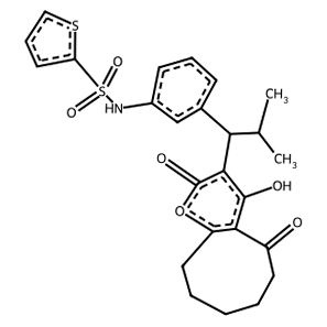 CC(C)C(c1cccc(NS(=O)(=O)c2cccs2)c1)c1c(O)c2c(oc1=O)CCCCCC2=O